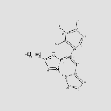 Cc1cc[c]([Ru](=[CH]c2cccs2)=[C]2N=CC=N2)c(C)c1C.Cl.Cl